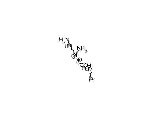 CC(C)CCC[C@@H](C)[C@H]1CC[C@H]2[C@@H]3CC=C4C[C@@H](OC(=O)CCC(=O)N(CCCN)CCCCNCCCN)CC[C@]4(C)[C@H]3CC[C@]12C